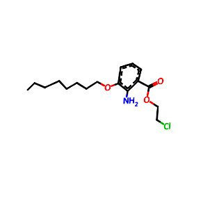 CCCCCCCCOc1cccc(C(=O)OCCCl)c1N